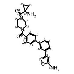 Nc1cc(-c2cccc(-c3ccc(C(=O)N4CCN(C(=O)C5(N)CC5)CC4)c(F)c3)c2)no1